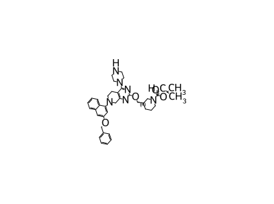 CC(C)(C)OC(=O)N1CCC[C@@H](COc2nc3c(c(N4CCNCC4)n2)CCN(c2cc(OCc4ccccc4)cc4ccccc24)C3)C1